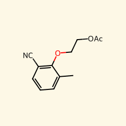 CC(=O)OCCOc1c(C)cccc1C#N